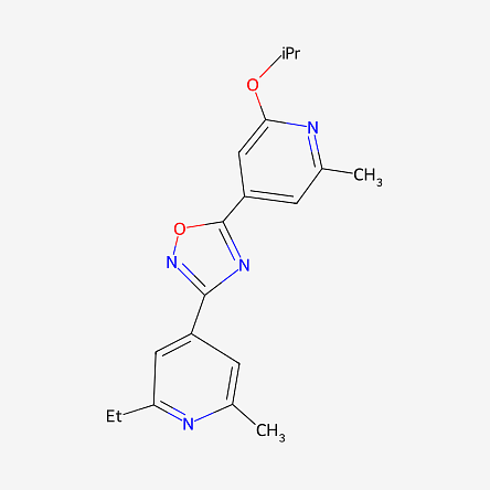 CCc1cc(-c2noc(-c3cc(C)nc(OC(C)C)c3)n2)cc(C)n1